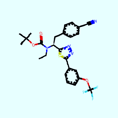 CCN(C(=O)OC(C)(C)C)[C@@H](Cc1ccc(C#N)cc1)c1nnc(-c2cccc(OC(F)(F)F)c2)s1